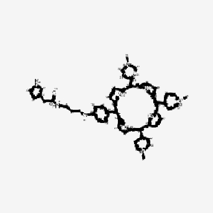 C[n+]1ccc(-c2c3nc(c(-c4cc[n+](C)cc4)c4ccc([nH]4)c(-c4cc[n+](C)cc4)c4nc(c(-c5ccc(OCCCNC(=O)Cc6cc[nH]c6)cc5)c5ccc2[nH]5)C=C4)C=C3)cc1